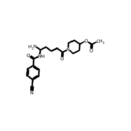 CC(=O)OC1CCN(C(=O)CCCC(N)NC(=O)c2ccc(C#N)cc2)CC1